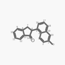 Cc1ccc2c(C3Cc4ccccc4C3=O)cccc2c1